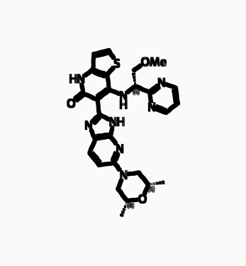 COC[C@@H](Nc1c(-c2nc3ccc(N4C[C@@H](C)O[C@@H](C)C4)nc3[nH]2)c(=O)[nH]c2ccsc12)c1ncccn1